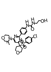 C[C@H]1COCCN1c1cc(C2(S(=O)(=O)c3ccc(Cl)cc3)CCOCC2)nc(-c2ccc(NC(=O)NCCO)cc2)n1